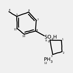 C1CCC1.Cc1ccc(S(=O)(=O)O)cc1.P